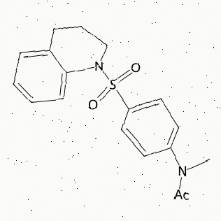 CC(=O)N(C)c1ccc(S(=O)(=O)N2CCCc3ccccc32)cc1